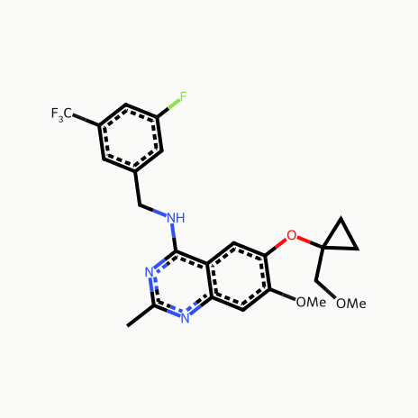 COCC1(Oc2cc3c(NCc4cc(F)cc(C(F)(F)F)c4)nc(C)nc3cc2OC)CC1